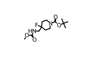 COC(=O)NCC1(F)CCN(C(=O)OC(C)(C)C)CC1